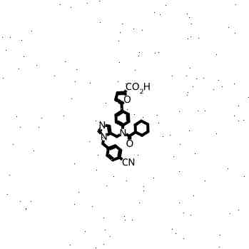 N#Cc1ccc(Cn2cncc2CN(C(=O)C2CCCCC2)c2ccc(-c3ccc(C(=O)O)o3)cc2)cc1